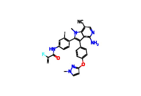 C=C(F)C(=O)Nc1ccc(-c2c(-c3ccc(Oc4ccn(C)n4)cc3)c3c(N)ncc(C#N)c3n2C)c(C)c1